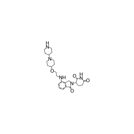 O=C1CCC(N2Cc3c(NCCOC4CCN(C5CCNCC5)CC4)cccc3C2=O)C(=O)N1